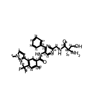 Cn1ccc(-c2cc(C(=O)Nc3cnc(CNC(=O)[C@](C)(N)CO)nc3-c3ccccc3)c(F)cc2C(F)(F)F)n1